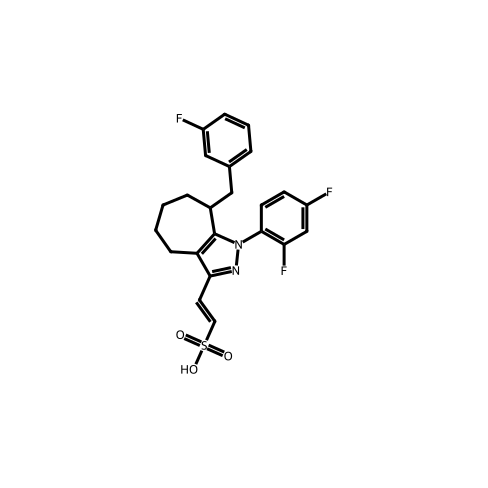 O=S(=O)(O)C=Cc1nn(-c2ccc(F)cc2F)c2c1CCCCC2Cc1cccc(F)c1